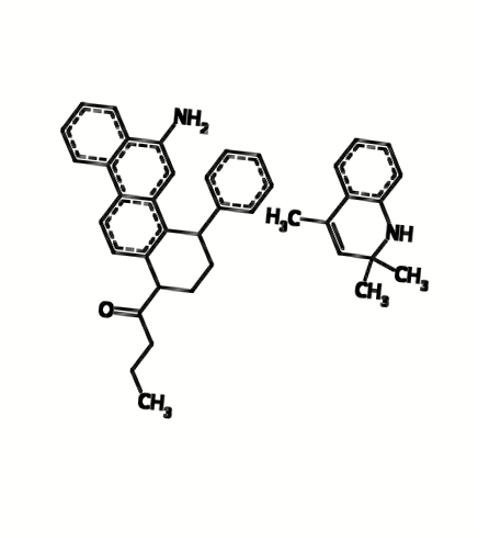 CC1=CC(C)(C)Nc2ccccc21.CCCC(=O)C1CCC(c2ccccc2)c2c1ccc1c2cc(N)c2ccccc21